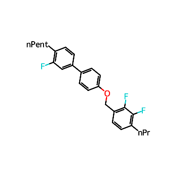 CCCCCc1ccc(-c2ccc(OCc3ccc(CCC)c(F)c3F)cc2)cc1F